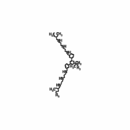 CCC(CC)CNCCCNCCCNCc1cccc(-c2cc(-c3cccc(CNCCCNCCCNCC(CC)CC)c3)cc(C(C)(C)C)c2)c1